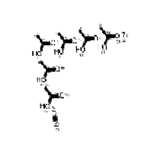 CC(=O)O.CC(=O)O.CC(=O)O.CC(=O)O.CC(=O)O.CC(=O)O.[O]=[Zr].[Zr]